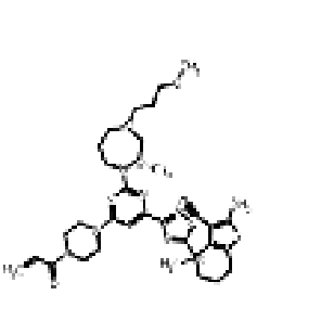 C=CC(=O)N1CCN(c2cc(-c3noc([C@@]4(C)CCCc5sc(N)c(C#N)c54)n3)nc(N3CCCN(CCCOC)C[C@@H]3C)n2)CC1